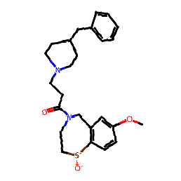 COc1ccc2c(c1)CN(C(=O)CCN1CCC(Cc3ccccc3)CC1)CC[S@@+]2[O-]